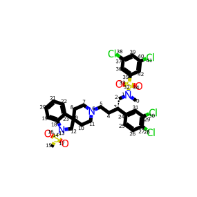 CN(C[C@@H](CCN1CCC2(CC1)CN(S(C)(=O)=O)c1ccccc12)c1ccc(Cl)c(Cl)c1)S(=O)(=O)c1cc(Cl)cc(Cl)c1